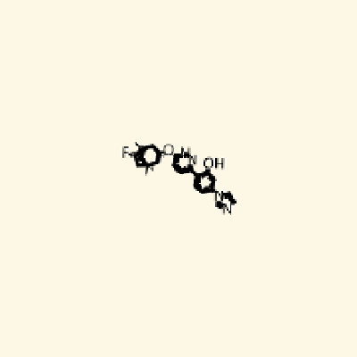 C[C@]12C[C@H](Oc3ccc(-c4ccc(-n5ccnc5)cc4O)nn3)C[C@](C)(C1)[C@H](F)C2